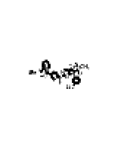 CN(C)C(=O)c1cc2cnc(Nc3ccc(C(=O)N4CC5CCC(N5)C4C(=O)OC(C)(C)C)cn3)nc2n1-c1cccc(C(C)(C)C)c1